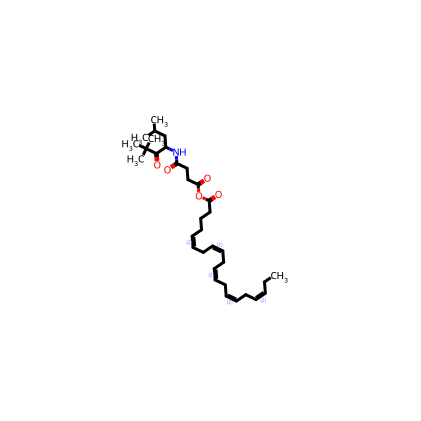 CC/C=C\C/C=C\C/C=C\C/C=C\C/C=C\CCCC(=O)OC(=O)CCC(=O)NC(CC(C)C)C(=O)C(C)(C)C